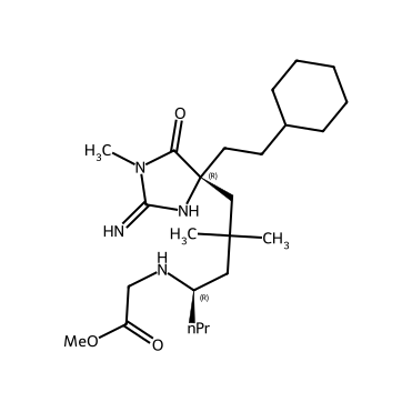 CCC[C@H](CC(C)(C)C[C@@]1(CCC2CCCCC2)NC(=N)N(C)C1=O)NCC(=O)OC